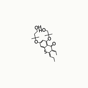 C/C=c1/c(=O)c2c(OC(C)(C)CO)cc(OC(C)(C)CCO)cc2s/c1=C/CC